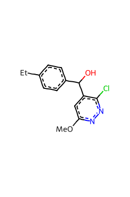 CCc1ccc(C(O)c2cc(OC)nnc2Cl)cc1